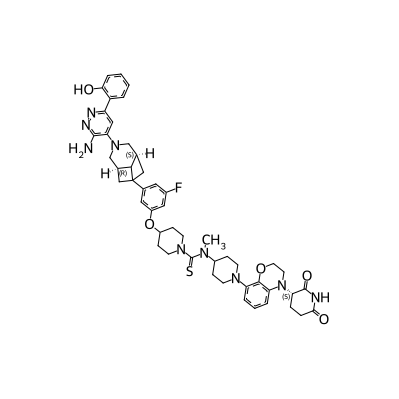 CN(C(=S)N1CCC(Oc2cc(F)cc(C34C[C@H]5CN(c6cc(-c7ccccc7O)nnc6N)C[C@@H](C3)C54)c2)CC1)C1CCN(c2cccc3c2OCCN3[C@H]2CCC(=O)NC2=O)CC1